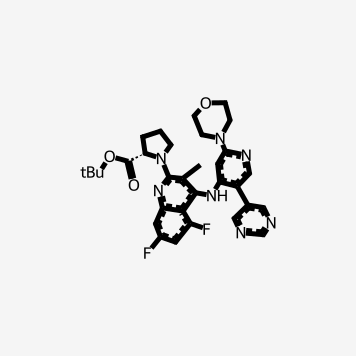 Cc1c(N2CCC[C@H]2C(=O)OC(C)(C)C)nc2cc(F)cc(F)c2c1Nc1cc(N2CCOCC2)ncc1-c1cncnc1